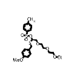 CCOCCOCCOCC(OS(=O)(=O)c1ccc(C)cc1)SCc1ccc(OC)cc1